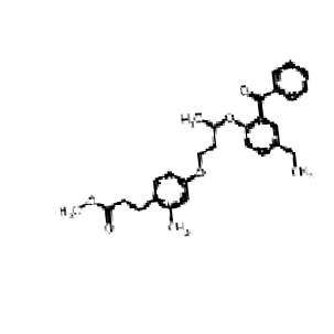 CCc1ccc(OC(C)CCOc2ccc(CCC(=O)OC)c(C)c2)c(C(=O)c2ccccc2)c1